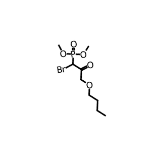 CCCCOCC(=O)C(Br)P(=O)(OC)OC